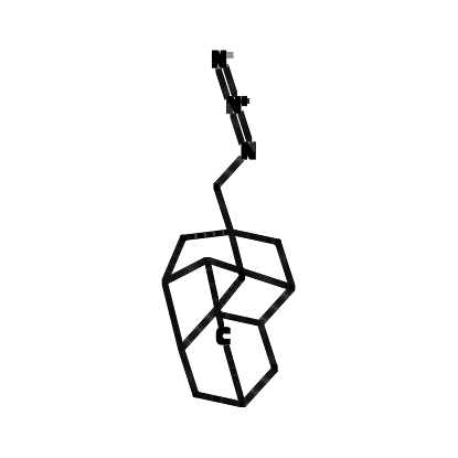 [N-]=[N+]=NCC12CC3C4CC5CC3C(C1)C(C5)C4C2